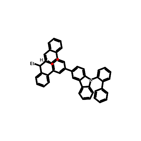 CCC(c1ccc2ccccc2c1)c1ccccc1-c1cc(-c2ccc3c(c2)c2ccccc2n3-c2ccccc2-c2ccccc2)ccc1C